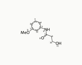 COc1cccc(NC(=O)CCO)c1